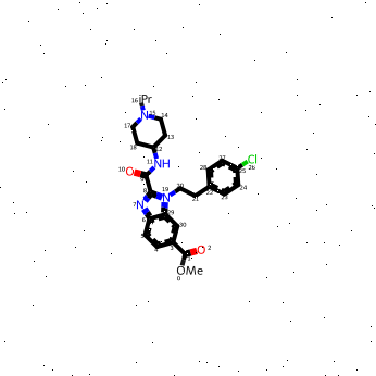 COC(=O)c1ccc2nc(C(=O)NC3CCN(C(C)C)CC3)n(CCc3ccc(Cl)cc3)c2c1